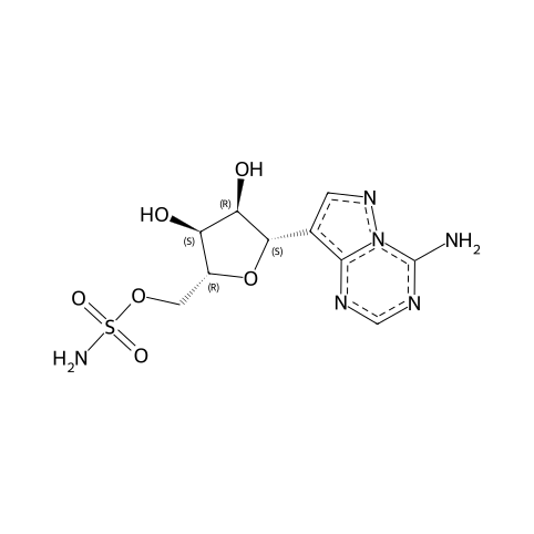 Nc1ncnc2c([C@@H]3O[C@H](COS(N)(=O)=O)[C@@H](O)[C@H]3O)cnn12